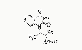 CCCCCC(CC)C(C)n1c(=O)[nH]c(=O)c2ccccc21